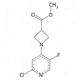 COC(=O)C1CN(c2cc(Cl)ncc2F)C1